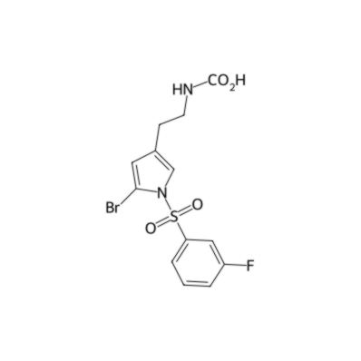 O=C(O)NCCc1cc(Br)n(S(=O)(=O)c2cccc(F)c2)c1